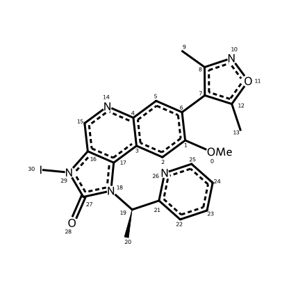 COc1cc2c(cc1-c1c(C)noc1C)ncc1c2n([C@H](C)c2ccccn2)c(=O)n1I